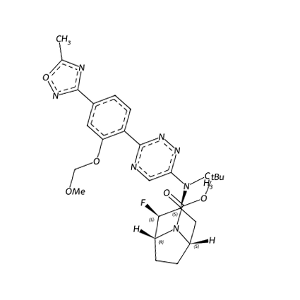 COCOc1cc(-c2noc(C)n2)ccc1-c1ncc(N(C)[C@H]2C[C@@H]3CC[C@H]([C@H]2F)N3C(=O)OC(C)(C)C)nn1